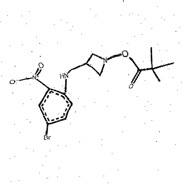 CC(C)(C)C(=O)ON1CC(Nc2ccc(Br)cc2[N+](=O)[O-])C1